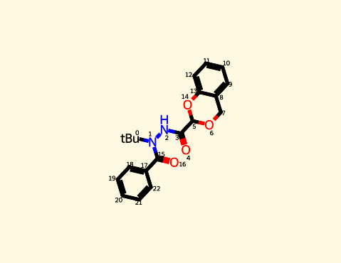 CC(C)(C)N(NC(=O)C1OCc2ccccc2O1)C(=O)c1ccccc1